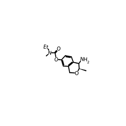 CCN(C)C(=O)Oc1ccc2c(c1)CO[C@H](C)C2N